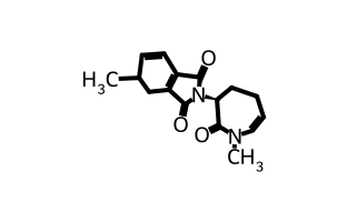 CC1C=CC2=C(C1)C(=O)N([C@H]1CCC=CN(C)C1=O)C2=O